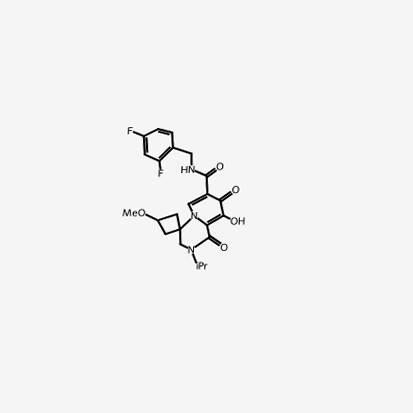 COC1CC2(C1)CN(C(C)C)C(=O)c1c(O)c(=O)c(C(=O)NCc3ccc(F)cc3F)cn12